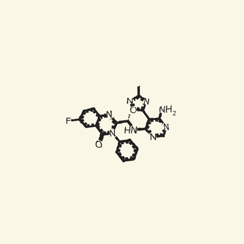 Cc1noc(-c2c(N)ncnc2N[C@@H](C)c2nc3ccc(F)cc3c(=O)n2-c2ccccc2)n1